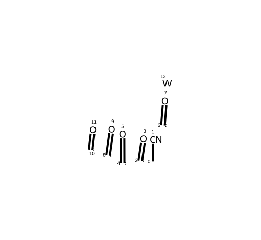 CC#N.[C]=O.[C]=O.[C]=O.[C]=O.[C]=O.[W]